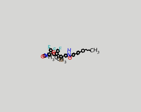 CCCCCC1CCC(c2ccc(-c3ccc(C(=O)Nc4ccc(-c5cc(Br)c6c(c5)-c5c(c7c(c8c(F)cc(F)cc58)OC(c5ccc(F)cc5)(c5ccc(N8CCOCC8)cc5)C=C7)C6(C)C)cc4)cc3)cc2)CC1